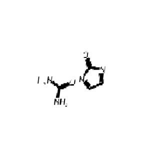 NC(N)=O.O=C1N=CC=N1